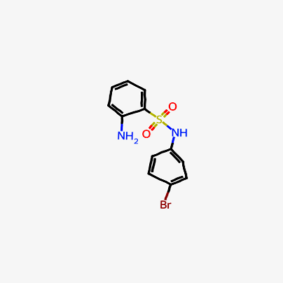 Nc1ccccc1S(=O)(=O)Nc1ccc(Br)cc1